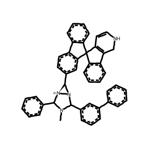 CN1C(c2cccc(-c3ccccc3)c2)N2C(c3ccc4c(c3)C3(C5=C(CNC=C5)c5ccccc53)c3ccccc3-4)[N@]2C1c1ccccc1